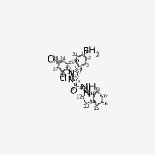 Bc1ccc([C@@H]2CC(C(=O)NN3CCc4ccccc43)=NN2c2ccc(Cl)cc2Cl)cc1